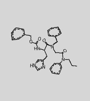 CCCN(C(=O)CN(Cc1ccccc1)C(=O)C(Cc1c[nH]cn1)NC(=O)OCc1ccccc1)c1ccccc1